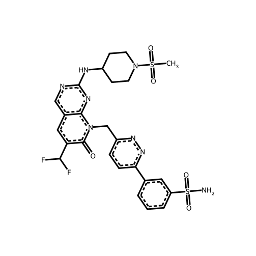 CS(=O)(=O)N1CCC(Nc2ncc3cc(C(F)F)c(=O)n(Cc4ccc(-c5cccc(S(N)(=O)=O)c5)nn4)c3n2)CC1